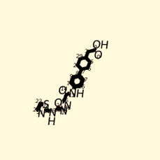 O=C(O)CC1CCC(c2ccc(NC(=O)c3nnc(Nc4nccs4)o3)cc2)CC1